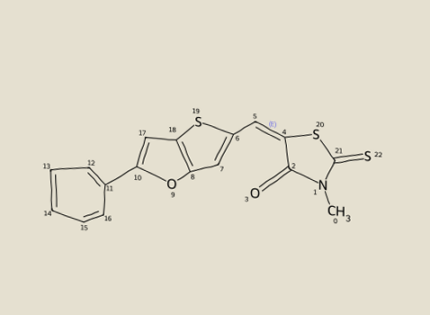 CN1C(=O)/C(=C\c2cc3oc(-c4ccccc4)cc3s2)SC1=S